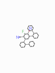 N#Cc1c(-c2ccccc2-c2ccccc2)cc(-c2ccccc2-c2ccccc2)c(C#N)c1F